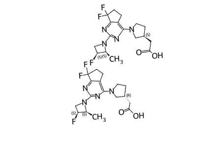 C[C@H]1[C@@H](F)CN1c1nc(N2CC[C@@H](CC(=O)O)C2)c2c(n1)C(F)(F)CC2.C[C@H]1[C@@H](F)CN1c1nc(N2CC[C@H](CC(=O)O)C2)c2c(n1)C(F)(F)CC2